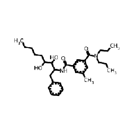 CCCCCC(O)C(O)C(Cc1ccccc1)NC(=O)c1cc(C)cc(C(=O)N(CCC)CCC)c1